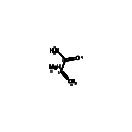 C=CC(N)=O.[MgH2]